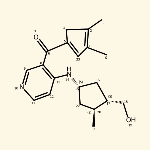 CC1=C(C)CC(C(=O)c2cnccc2N[C@@H]2C[C@H](CO)[C@@H](C)C2)=C1